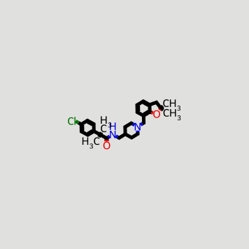 CC1(C)Cc2cccc(CN3CCC(CNC(=O)C(C)(C)c4ccc(Cl)cc4)CC3)c2O1